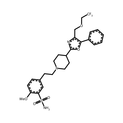 COc1ccc(CCN2CCC(c3nc(COCC(F)(F)F)c(-c4ccccc4)o3)CC2)cc1S(N)(=O)=O